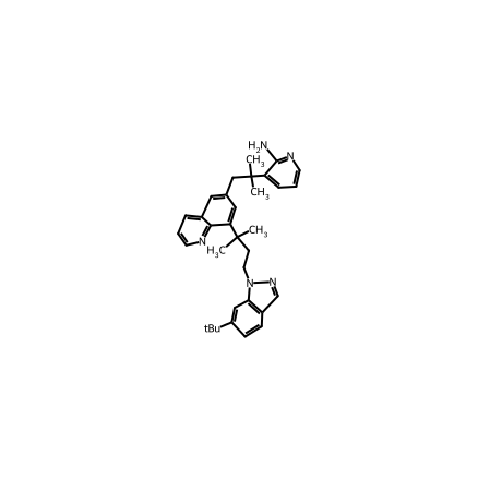 CC(C)(C)c1ccc2cnn(CCC(C)(C)c3cc(CC(C)(C)c4cccnc4N)cc4cccnc34)c2c1